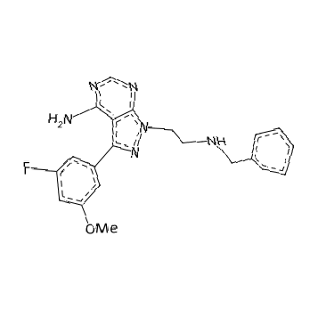 COc1cc(F)cc(-c2nn(CCNCc3ccccc3)c3ncnc(N)c23)c1